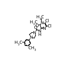 CCN1C(Cl)=C(Cl)N=C(NC(=O)N2CCN(c3cc(C)cc(C)c3)CC2)C1OC